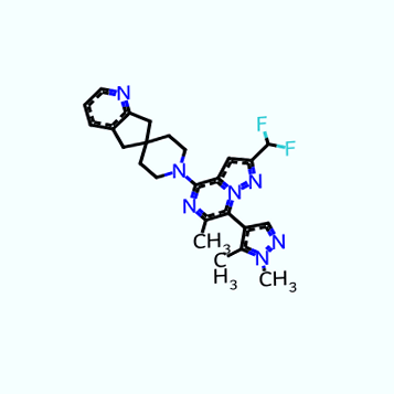 Cc1nc(N2CCC3(CC2)Cc2cccnc2C3)c2cc(C(F)F)nn2c1-c1cnn(C)c1C